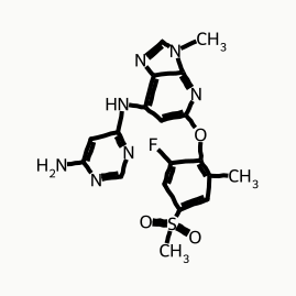 Cc1cc(S(C)(=O)=O)cc(F)c1Oc1cc(Nc2cc(N)ncn2)c2ncn(C)c2n1